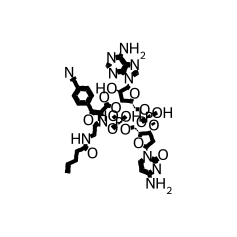 C=CCCC(=O)NCc1nc(C(=O)O[C@@H]2[C@H](O)[C@H](n3cnc4c(N)ncnc43)O[C@@H]2COP(=O)(O)O[C@@H]2C[C@H](n3ccc(N)nc3=O)O[C@@H]2COP(=O)(O)O)c(-c2ccc(C#N)cc2)o1